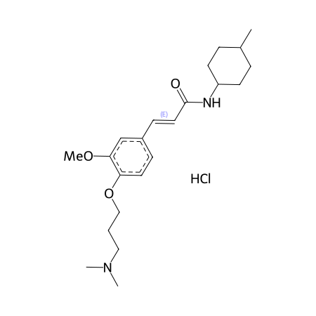 COc1cc(/C=C/C(=O)NC2CCC(C)CC2)ccc1OCCCN(C)C.Cl